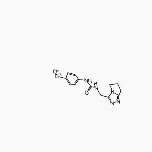 O=C(NCc1nnc2n1CCC2)Nc1ccc(OC(F)(F)F)cc1